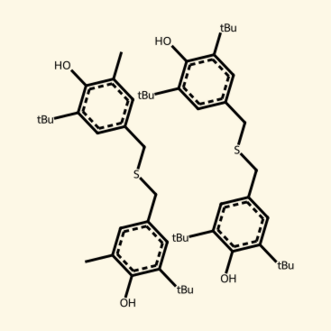 CC(C)(C)c1cc(CSCc2cc(C(C)(C)C)c(O)c(C(C)(C)C)c2)cc(C(C)(C)C)c1O.Cc1cc(CSCc2cc(C)c(O)c(C(C)(C)C)c2)cc(C(C)(C)C)c1O